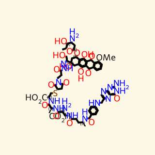 COc1cccc2c1C(=O)c1c(O)c3c(c(O)c1C2=O)C[C@@](O)(/C(CO)=N\NC(=O)CCN1C(=O)CC(SC[C@H](NC(=O)[C@H](CC(=O)O)NC(=O)[C@@H](N)CNC(=O)CC[C@H](C)NC(=O)c2ccc(NCc4cnc5nc(N)[nH]c(=O)c5n4)cc2)C(=O)O)C1=O)C[C@@H]3O[C@H]1CC(N)[C@H](O)C(C)O1